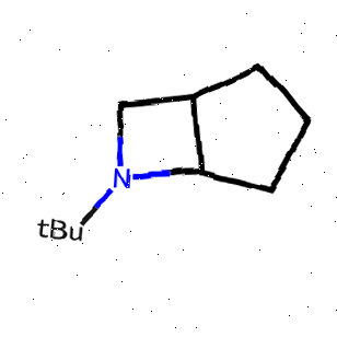 CC(C)(C)N1CC2CCCC21